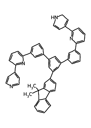 CC1(C)c2ccccc2-c2ccc(-c3cc(-c4cccc(-c5cccc(C6=CCNC=C6)n5)c4)cc(-c4cccc(-c5cccc(-c6ccncc6)n5)c4)c3)cc21